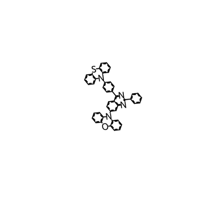 c1ccc(-c2nc(-c3ccc(N4c5ccccc5Sc5ccccc54)cc3)c3ccc(N4c5ccccc5Oc5ccccc54)cc3n2)cc1